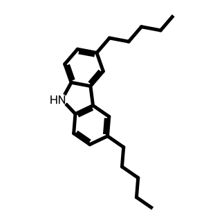 CCCCCc1ccc2[nH]c3ccc(CCCCC)cc3c2c1